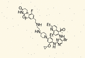 CCc1ccc2c(P(C)(C)=O)c(Nc3nc(Nc4cc(CC)c(N5CCC(NCCNCCc6cc(F)c([C@H]7CCC(=O)NC7=O)c(F)c6)CC5)cc4OC4CC4)ncc3Br)ccc2n1